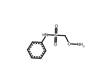 NOCS(=O)(=O)Nc1ccccc1